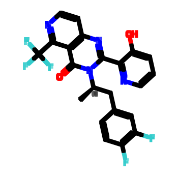 C[C@H](Cc1ccc(F)c(F)c1)n1c(-c2ncccc2O)nc2ccnc(C(F)(F)F)c2c1=O